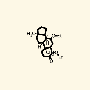 CCOC1CC2N(OCC)C(=O)CC[C@]2(C)[C@@H]2CC[C@]3(C)CCC[C@H]3[C@H]12